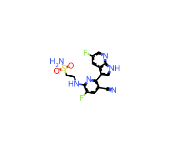 N#Cc1cc(F)c(NCCS(N)(=O)=O)nc1-c1c[nH]c2ncc(F)cc12